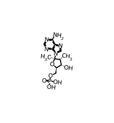 C[C@@H]1[C@H](O)[C@@H](COP(=O)(O)O)O[C@@]1(C)n1cnc2c(N)ncnc21